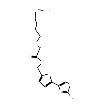 CN(C)CCCCOCC(=O)NCc1ccc(-c2csc(N)n2)s1